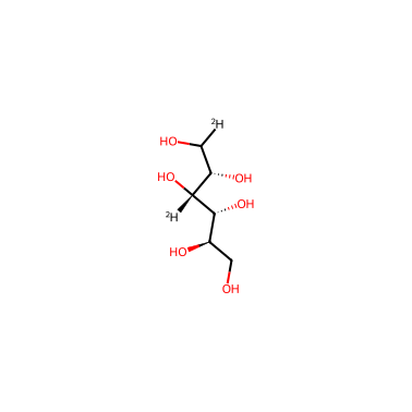 [2H]C(O)[C@H](O)[C@@]([2H])(O)[C@H](O)[C@H](O)CO